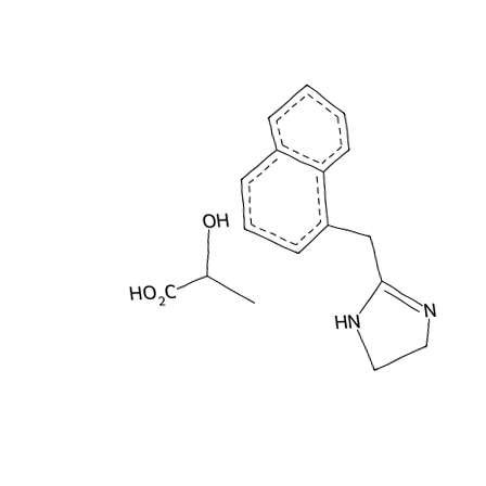 CC(O)C(=O)O.c1ccc2c(CC3=NCCN3)cccc2c1